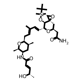 CC(C=C[C@H]1O[C@H](CC(N)=O)C[C@@]2(CO2)[C@@H]1O[Si](C)(C)C(C)(C)C)=CC[C@@H]1O[C@H](C)[C@H](NC(=O)C=C[C@H](C)O)C[C@@H]1C